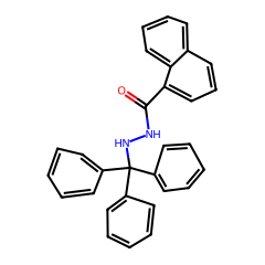 O=C(NNC(c1ccccc1)(c1ccccc1)c1ccccc1)c1cccc2ccccc12